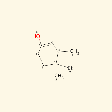 CCC1(C)CCC(O)=CC1C